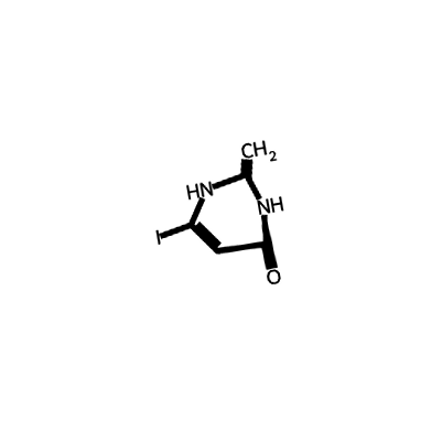 C=C1NC(=O)C=C(I)N1